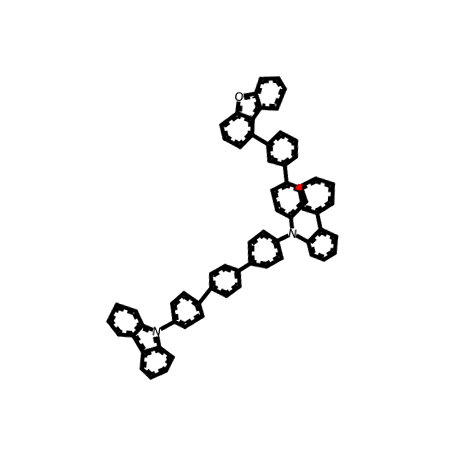 c1ccc(-c2ccccc2N(c2ccc(-c3ccc(-c4ccc(-n5c6ccccc6c6ccccc65)cc4)cc3)cc2)c2ccc(-c3cccc(-c4cccc5oc6ccccc6c45)c3)cc2)cc1